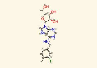 Cc1ccc(CNc2ncnc3c2ncn3[C@@H]2O[C@H](CO)[C@@H](O)[C@H]2O)cc1F